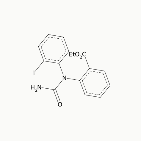 CCOC(=O)c1ccccc1N(C(N)=O)c1ccccc1I